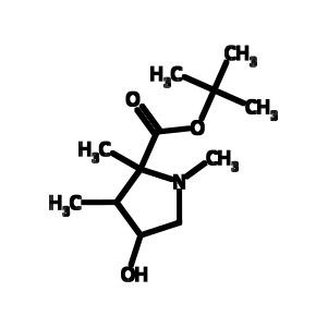 CC1C(O)CN(C)C1(C)C(=O)OC(C)(C)C